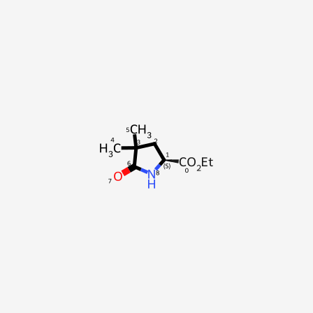 CCOC(=O)[C@@H]1CC(C)(C)C(=O)N1